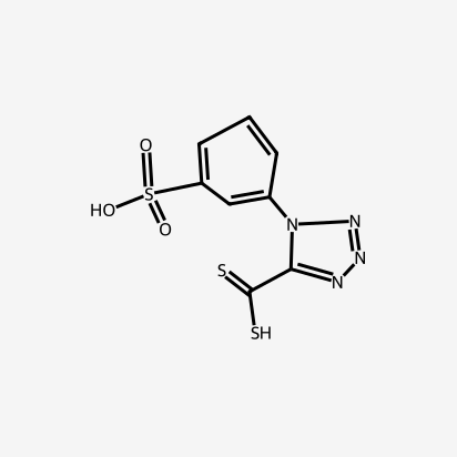 O=S(=O)(O)c1cccc(-n2nnnc2C(=S)S)c1